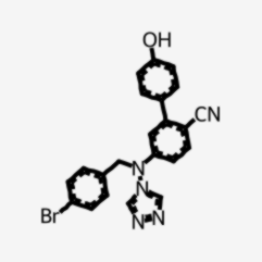 N#Cc1ccc(N(Cc2ccc(Br)cc2)n2cnnc2)cc1-c1ccc(O)cc1